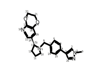 Cn1cc(-c2ccc(CN3CCC[C@H]3c3cnc4c(c3)OCCO4)cc2)cn1